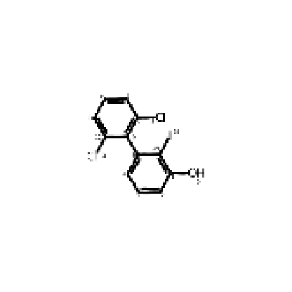 Oc1cccc(-c2c(Cl)cccc2Cl)c1I